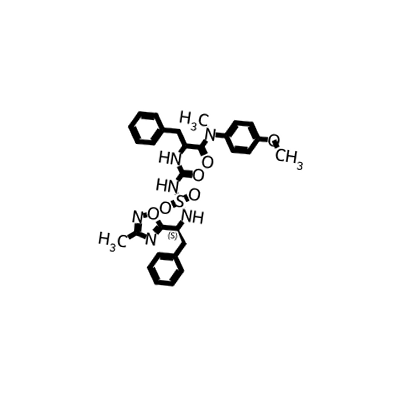 COc1ccc(N(C)C(=O)C(Cc2ccccc2)NC(=O)NS(=O)(=O)N[C@@H](Cc2ccccc2)c2nc(C)no2)cc1